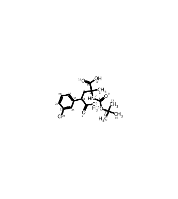 CC(=O)C(CC(C)(NC(=O)OC(C)(C)C)C(=O)O)c1cccc(Cl)c1